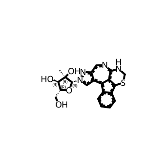 C[C@@]1(O)[C@H](O)[C@@H](CO)O[C@H]1n1cc2c3c4ccccc4c4c-3c(ncc2n1)NCS4